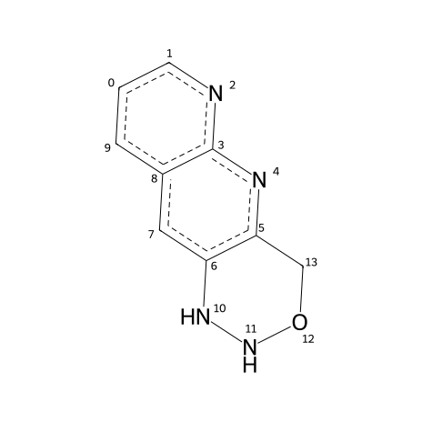 c1cnc2nc3c(cc2c1)NNOC3